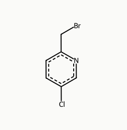 Clc1ccc(CBr)nc1